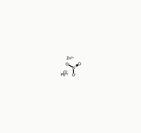 O=[N+]([O-])[O-].[Cl-].[Pb+2].[Zn+2]